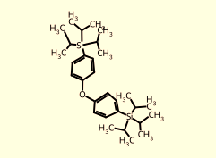 CC(C)[Si](c1ccc(Oc2ccc([Si](C(C)C)(C(C)C)C(C)C)cc2)cc1)(C(C)C)C(C)C